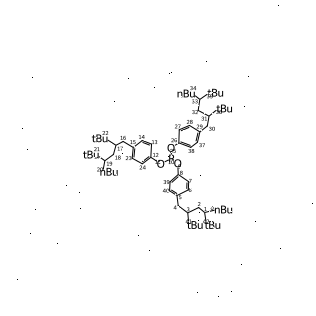 CCCCC(CC(Cc1ccc(OP(Oc2ccc(CC(CC(CCCC)C(C)(C)C)C(C)(C)C)cc2)Oc2ccc(CC(CC(CCCC)C(C)(C)C)C(C)(C)C)cc2)cc1)C(C)(C)C)C(C)(C)C